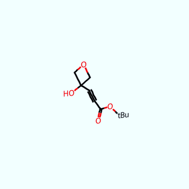 CC(C)(C)OC(=O)C#CC1(O)COC1